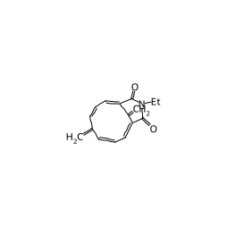 C=c1cccc2c(=C)c(ccc1)C(=O)N(CC)C2=O